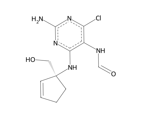 Nc1nc(Cl)c(NC=O)c(N[C@]2(CO)C=CCC2)n1